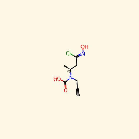 C#CCN(C(=O)O)[C@@H](C)CC(Cl)=NO